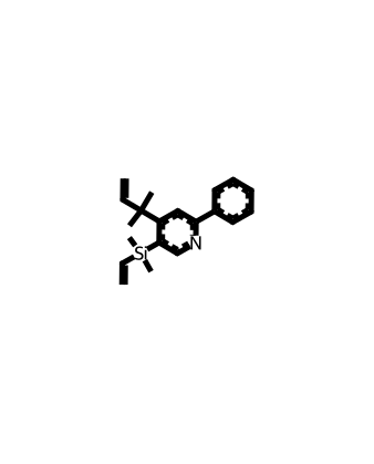 C=CC(C)(C)c1cc(-c2ccccc2)ncc1[Si](C)(C)C=C